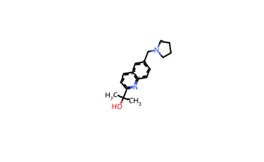 CC(C)(O)c1ccc2cc(CN3CCCC3)ccc2n1